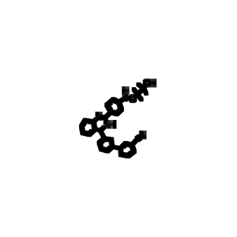 CC(C)(O)C(C)(C)OBc1ccc(C2=Nc3ccccc3C(c3cccc(-c4cccc(C#N)c4)c3)N2)cc1